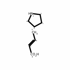 C1CCNC1.CC=CC(=O)O